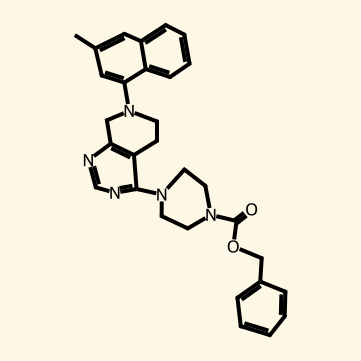 Cc1cc(N2CCc3c(ncnc3N3CCN(C(=O)OCc4ccccc4)CC3)C2)c2ccccc2c1